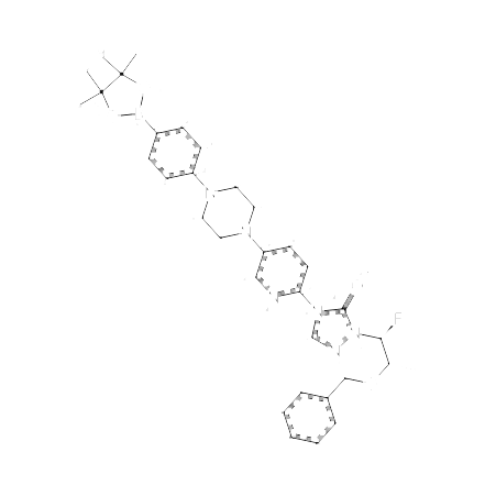 CC[C@@H]([C@H](C)OCc1ccccc1)n1ncn(-c2ccc(N3CCN(c4ccc(B5OC(C)(C)C(C)(C)O5)cc4)CC3)cn2)c1=O